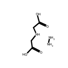 NN.O=C(O)CNCC(=O)O